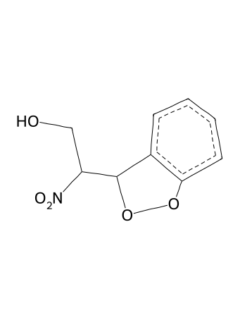 O=[N+]([O-])C(CO)C1OOc2ccccc21